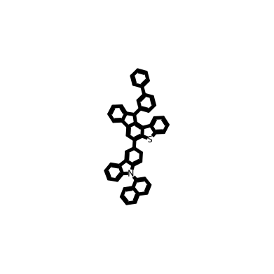 C1=c2c(n(-c3cccc4ccccc34)c3ccccc23)=CCC1c1cc2c(c3c1sc1ccccc13)C(c1cccc(-c3ccccc3)c1)c1ccccc1-2